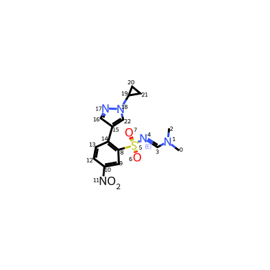 CN(C)/C=N/S(=O)(=O)c1cc([N+](=O)[O-])ccc1-c1cnn(C2CC2)c1